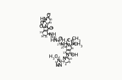 CCn1cnnc1-c1cccc(N2Cc3c(cc(N(C)C(C)C)nc3CNCC(=O)NCCNc3cccc4c3C(=O)N(C3CCC(=O)NC3=O)C4=O)C2O)n1